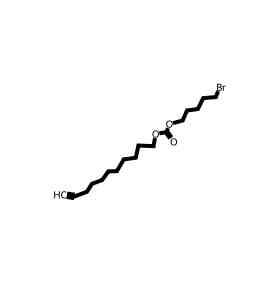 C#CCCCCCCCCCOC(=O)OCCCCCBr